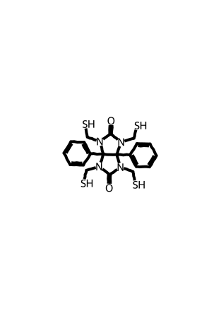 O=C1N(CS)C2(c3ccccc3)N(CS)C(=O)N(CS)C2(c2ccccc2)N1CS